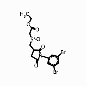 CCOC(=O)C[S+]([O-])CC1CC(=O)N(c2cc(Br)cc(Br)c2)C1=O